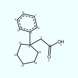 O=C(O)CC1(c2[c]cccc2)CCCCC1